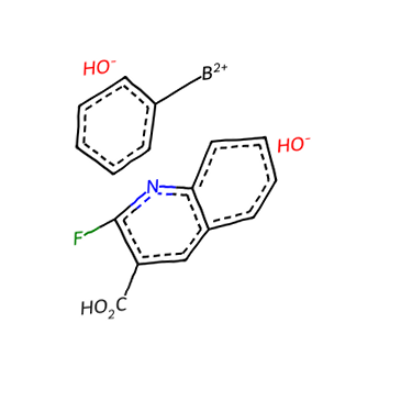 O=C(O)c1cc2ccccc2nc1F.[B+2]c1ccccc1.[OH-].[OH-]